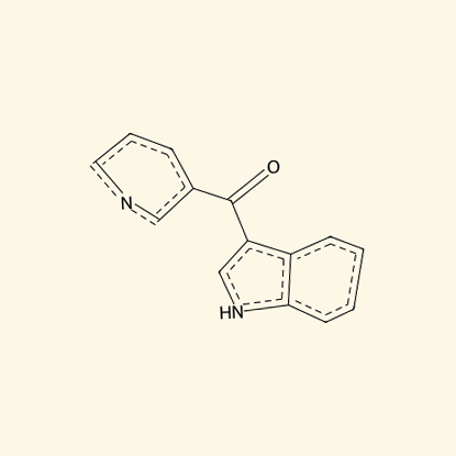 O=C(c1cccnc1)c1c[nH]c2ccccc12